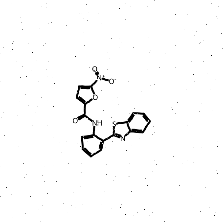 O=C(Nc1ccccc1-c1nc2ccccc2s1)c1ccc([N+](=O)[O-])o1